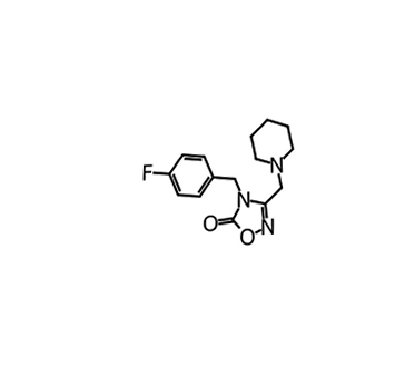 O=c1onc(CN2CCCCC2)n1Cc1ccc(F)cc1